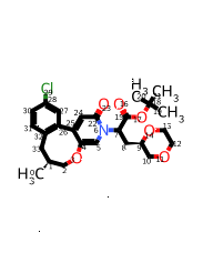 C[C@H]1COc2cn(C(C[C@@H]3COCCO3)C(=O)OC(C)(C)C)c(=O)cc2-c2cc(Cl)ccc2C1